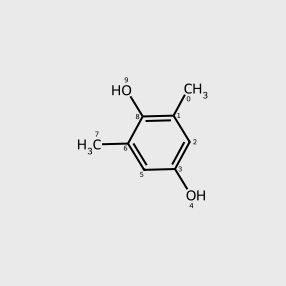 Cc1cc(O)cc(C)c1O